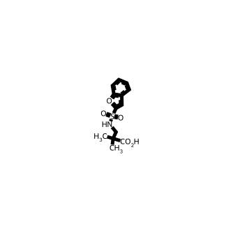 CC(C)(CNS(=O)(=O)c1cc2ccccc2o1)C(=O)O